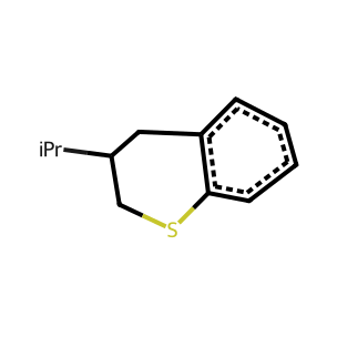 CC(C)C1CSc2ccccc2C1